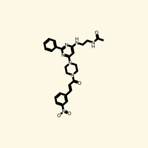 CC(=O)NCCNc1cc(N2CCN(C(=O)C=Cc3cccc([N+](=O)[O-])c3)CC2)nc(-c2ccccc2)n1